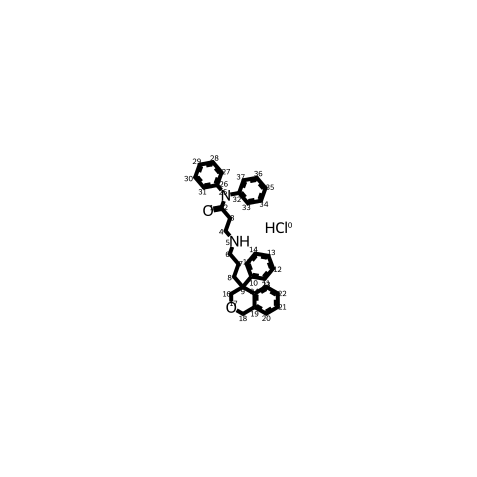 Cl.O=C(CCNCCCC1(c2ccccc2)COCc2ccccc21)N(c1ccccc1)c1ccccc1